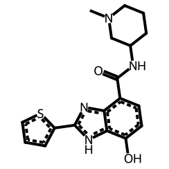 CN1CCCC(NC(=O)c2ccc(O)c3[nH]c(-c4cccs4)nc23)C1